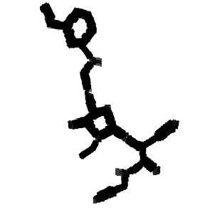 C=Cc1cccc(NC=C=c2sc(=C=C(C#N)C(=O)NCC#N)n(CC)c2=O)c1